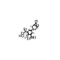 CCC(CC)c1cc(C2CC3CC(C2)C(=O)O3)cc(C(CC)CC)c1S(=O)(=O)O